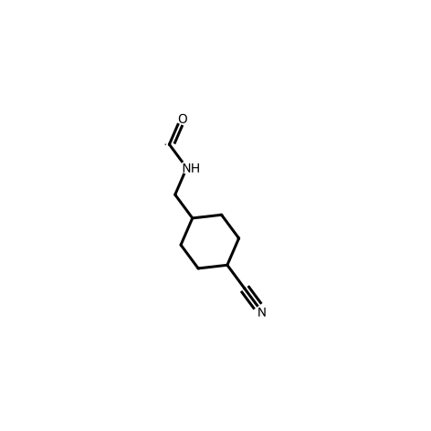 N#CC1CCC(CN[C]=O)CC1